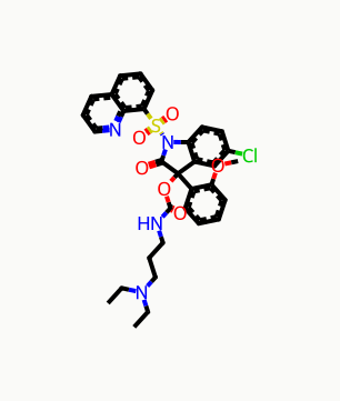 CCN(CC)CCCNC(=O)OC1(c2ccccc2OC)C(=O)N(S(=O)(=O)c2cccc3cccnc23)c2ccc(Cl)cc21